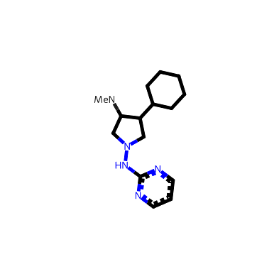 CNC1CN(Nc2ncccn2)CC1C1CCCCC1